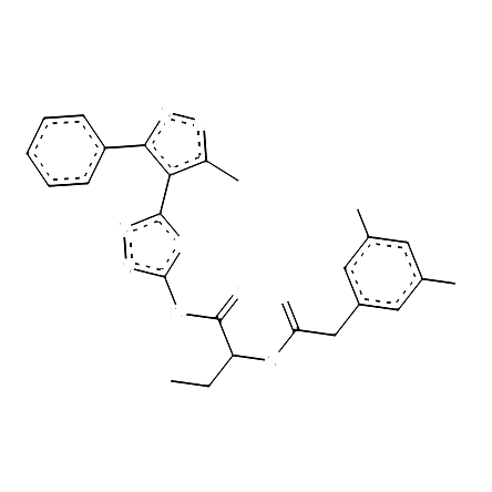 CCC(NC(=O)Cc1cc(F)cc(F)c1)C(=O)Nc1nnc(-c2c(-c3ccccc3)noc2C)s1